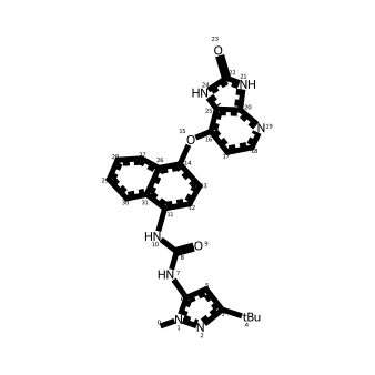 Cn1nc(C(C)(C)C)cc1NC(=O)Nc1ccc(Oc2ccnc3[nH]c(=O)[nH]c23)c2ccccc12